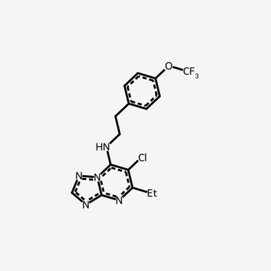 CCc1nc2ncnn2c(NCCc2ccc(OC(F)(F)F)cc2)c1Cl